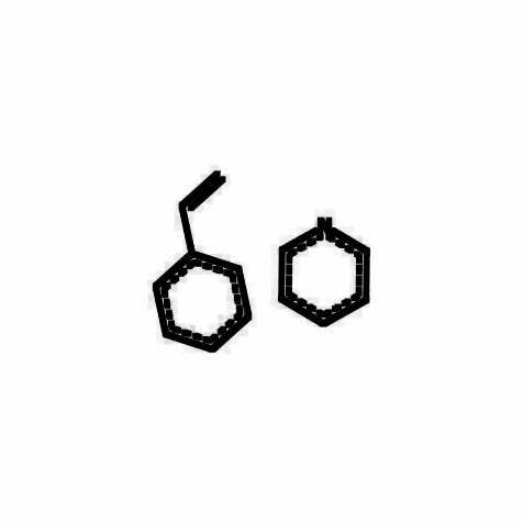 C=Cc1ccccc1.c1ccncc1